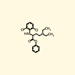 CCN(CC)CCC([AsH]c1c(Cl)cccc1Cl)C(=O)Oc1ccccc1